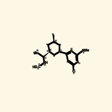 CNc1nc(Cl)cc(N2C[C@H](C)C[C@@H](C(NC(=O)O)C(C)(C)C)C2)n1